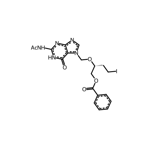 CC(=O)Nc1nc2ncn(CO[C@H](CCI)COC(=O)c3ccccc3)c2c(=O)[nH]1